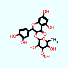 CC1OC(OC2C(=O)c3c(O)cc(O)cc3OC2c2ccc(O)c(O)c2)C(O)C(OO)C1O